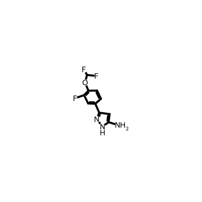 Nc1cc(-c2ccc(OC(F)F)c(F)c2)n[nH]1